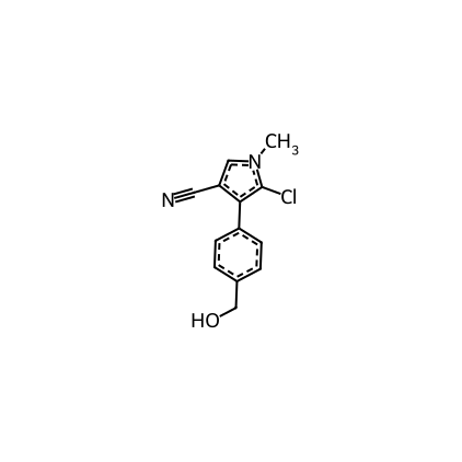 Cn1cc(C#N)c(-c2ccc(CO)cc2)c1Cl